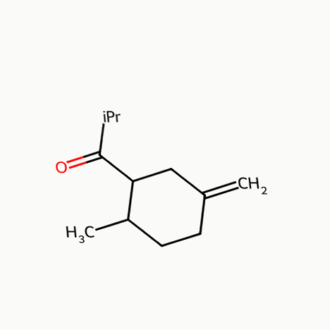 C=C1CCC(C)C(C(=O)C(C)C)C1